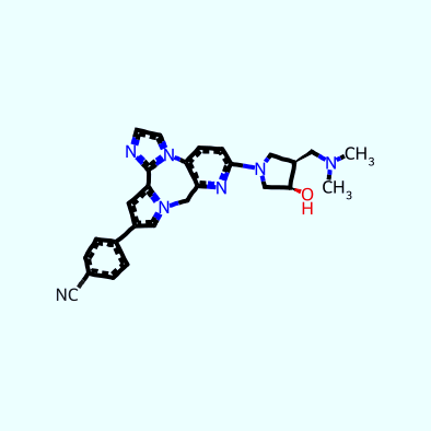 CN(C)C[C@@H]1CN(c2ccc3c(n2)Cn2cc(-c4ccc(C#N)cc4)cc2-c2nccn2-3)C[C@@H]1O